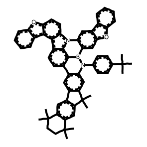 CC(C)(C)c1ccc(N2B3c4cc5oc6ccccc6c5cc4-n4c5ccc6oc7ccccc7c6c5c5ccc(c3c54)-c3cc4c(cc32)C(C)(C)c2cc3c(cc2-4)C(C)(C)CCC3(C)C)cc1